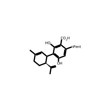 C=C(C)[C@H]1CCC(C)=CC1c1c(O)cc(CCCCC)c(C(=O)O)c1O